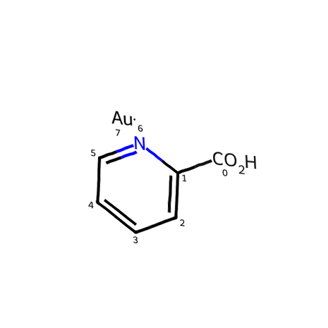 O=C(O)c1ccccn1.[Au]